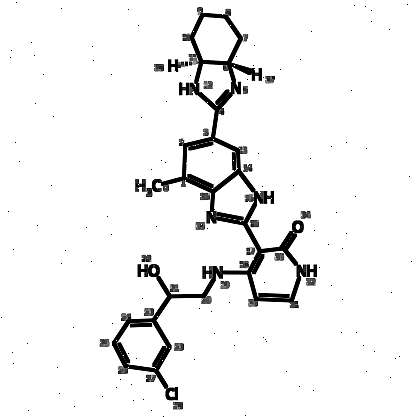 Cc1cc(C2=N[C@H]3CCCC[C@@H]3N2)cc2[nH]c(-c3c(NCC(O)c4cccc(Cl)c4)cc[nH]c3=O)nc12